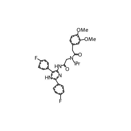 COc1ccc(CC(=O)N(CC(=O)Nc2nc(-c3ccc(F)cc3)[nH]c2-c2ccc(F)cc2)C(C)C)cc1OC